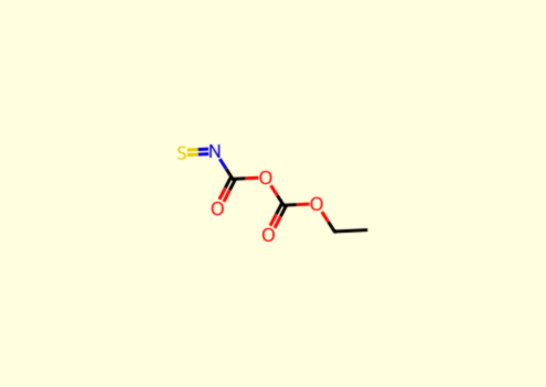 CCOC(=O)OC(=O)N=S